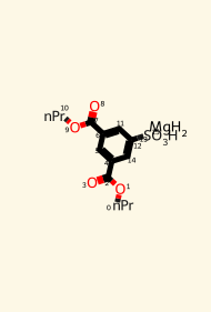 CCCOC(=O)c1cc(C(=O)OCCC)cc(S(=O)(=O)O)c1.[MgH2]